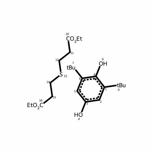 CC(C)(C)c1cc(O)cc(C(C)(C)C)c1O.CCOC(=O)CCSCCC(=O)OCC